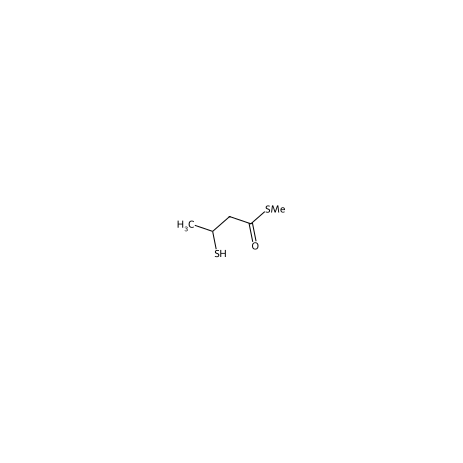 CSC(=O)CC(C)S